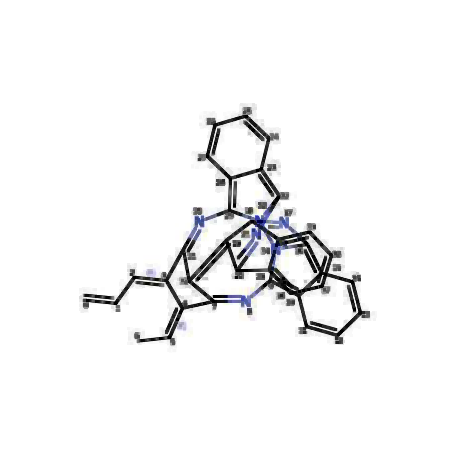 C=C/C=C1\C(=C/C)c2nc3c4ccccc4c4nc5c6c(nc7c8ccccc8c(nc1c26)n7n34)-c1ccccc1-5